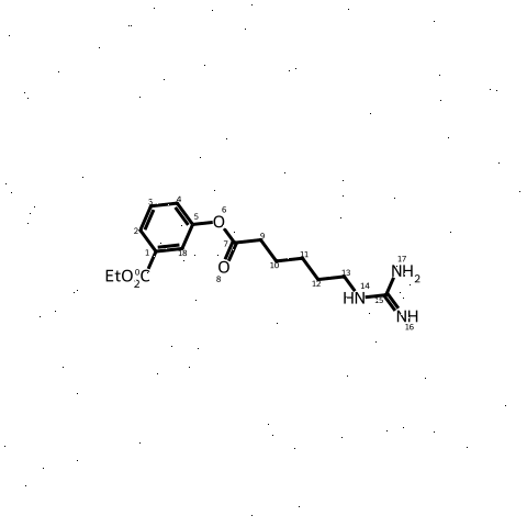 CCOC(=O)c1cccc(OC(=O)CCCCCNC(=N)N)c1